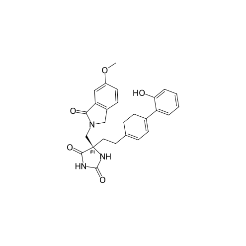 COc1ccc2c(c1)C(=O)N(C[C@@]1(CCC3=CC=C(c4ccccc4O)CC3)NC(=O)NC1=O)C2